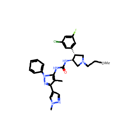 COCCN1C[C@@H](NC(=O)Nc2c(C)c(-c3cnn(C)c3)nn2-c2ccccc2)[C@H](c2cc(F)cc(Cl)c2)C1